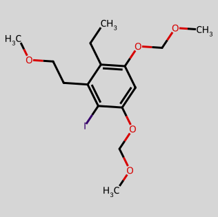 CCc1c(OCOC)cc(OCOC)c(I)c1CCOC